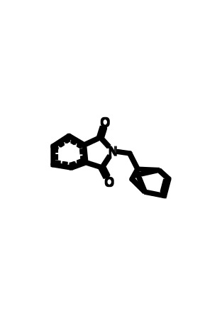 O=C1c2ccccc2C(=O)N1CC1CC2C=CC1C2